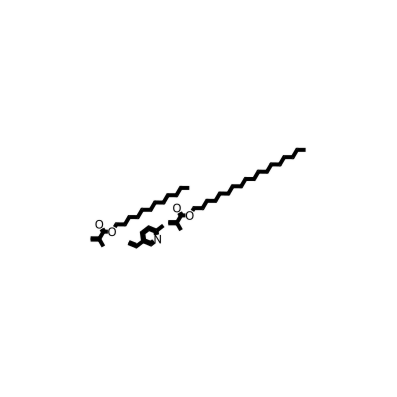 C=C(C)C(=O)OCCCCCCCCCCCC.C=C(C)C(=O)OCCCCCCCCCCCCCCCCCC.C=Cc1ccc(C)nc1